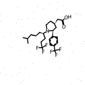 CC(C)CCC[C@H](CCC(F)(F)F)N1CC[C@@H](CC(=O)O)C[C@H]1c1ccc(C(F)(F)F)cc1